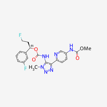 COC(=O)Nc1ccc(-c2nnn(C)c2NC(=O)O[C@H](CCF)c2cccc(F)c2)nc1